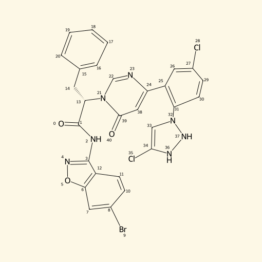 O=C(Nc1noc2cc(Br)ccc12)[C@H](Cc1ccccc1)n1cnc(-c2cc(Cl)ccc2N2C=C(Cl)NN2)cc1=O